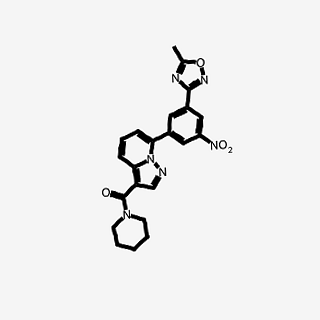 Cc1nc(-c2cc(-c3cccc4c(C(=O)N5CCCCC5)cnn34)cc([N+](=O)[O-])c2)no1